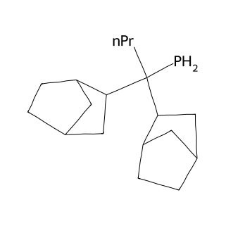 CCCC(P)(C1CC2CCC1C2)C1CC2CCC1C2